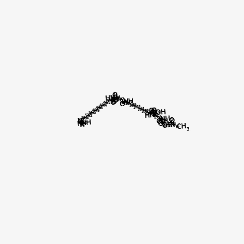 CCCNC(=O)CC[C@@H](NC(=O)CC[C@@H](NC(=O)CCCCCCCCCCCNC(=O)CCCS(=O)(=O)NC(=O)CCCCCCCCCCCCCCCc1nnn[nH]1)C(=O)O)C(=O)O